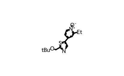 CCc1cc(-c2cnc(COC(C)(C)C)s2)cc[n+]1[O-]